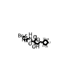 O=C(Nc1nnc(Br)s1)c1c(O)cc(-c2ccccc2)oc1=O